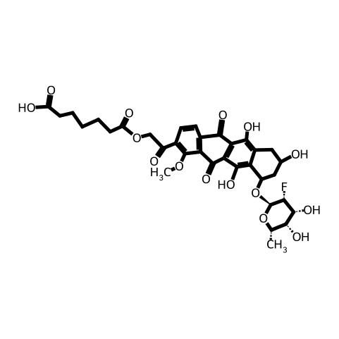 COc1c(C(=O)COC(=O)CCCCCC(=O)O)ccc2c1C(=O)c1c(O)c3c(c(O)c1C2=O)CC(O)CC3O[C@@H]1O[C@@H](C)[C@@H](O)[C@@H](O)[C@H]1F